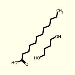 CCCCCCCCCCCC(=O)O.OCCCCO